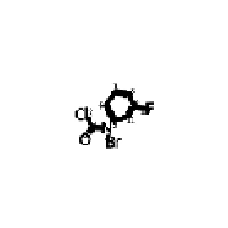 O=C(Cl)N(Br)c1cccc(F)c1